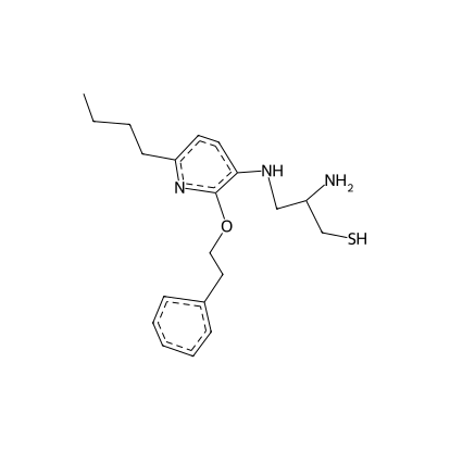 CCCCc1ccc(NCC(N)CS)c(OCCc2ccccc2)n1